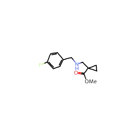 COC(=O)C1(CNCc2ccc(F)cc2)CC1